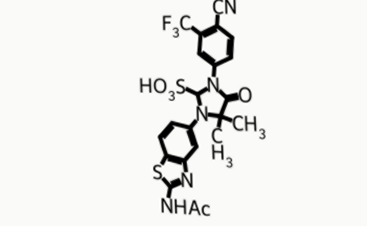 CC(=O)Nc1nc2cc(N3C(S(=O)(=O)O)N(c4ccc(C#N)c(C(F)(F)F)c4)C(=O)C3(C)C)ccc2s1